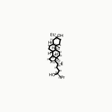 CC[C@]1(O)CC[C@@]2(C)[C@@H](CC[C@@H]3[C@@H]2CC[C@]2(C)[C@@H]([C@H](F)CC[C@H](O)C(C)C)CC[C@@H]32)C1